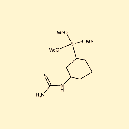 CO[Si](OC)(OC)C1CCCC(NC(N)=S)C1